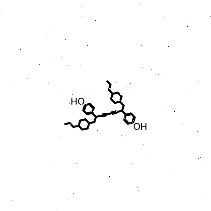 CCCC1CCC(CC(C#CC#CC(CC2CCC(CCC)CC2)c2ccc(O)cc2)c2ccc(O)cc2)CC1